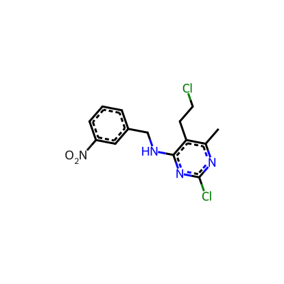 Cc1nc(Cl)nc(NCc2cccc([N+](=O)[O-])c2)c1CCCl